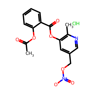 CC(=O)Oc1ccccc1C(=O)Oc1cc(CO[N+](=O)[O-])cnc1C.Cl